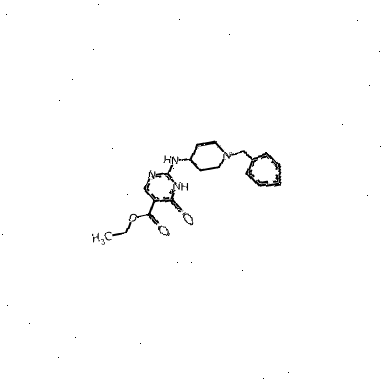 CCOC(=O)c1cnc(NC2CCN(Cc3ccccc3)CC2)[nH]c1=O